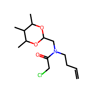 C=CCCN(CC1OC(C)C(C)C(C)O1)C(=O)CCl